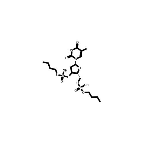 CCCCOP(=O)(O)OC[C@H]1O[C@@H](n2cc(C)c(=O)[nH]c2=O)CC1OP(=O)(O)OCCCC